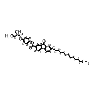 CCCCCCCCCCCCOc1ccc2c(c1)C(=O)c1cc(C(=O)Oc3ccc(OCC(C)CC)cc3)ccc1-2